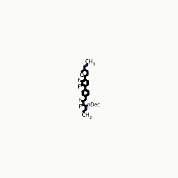 C=C/C=C(CCCCCCCCCC)\C(F)=C(\F)Cc1ccc(-c2ccc(C3CCC(/C=C/C)CO3)c(F)c2F)cc1